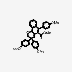 COC(=O)C1=C(c2ccc(OC)cc2)c2ccccc2C2OCC(c3ccc(OC)cc3)(c3ccc(OC)cc3)C=C12